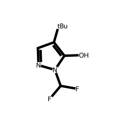 CC(C)(C)c1cnn(C(F)F)c1O